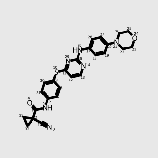 N#CC1(C(=O)Nc2ccc(Sc3ccnc(Nc4ccc(N5CCOCC5)cc4)n3)cc2)CC1